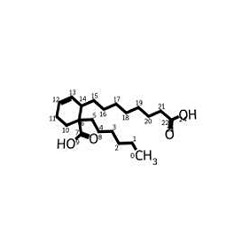 CCCCCCC1(C(=O)O)CCC=CC1CCCCCCCC(=O)O